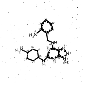 CCn1nnc2c(NCc3ccccc3N)nc(NC3CCC(N)CC3)nc21